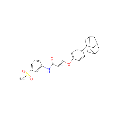 CS(=O)(=O)c1cccc(NC(=O)/C=C/Oc2ccc(C34CC5CC(CC(C5)C3)C4)cc2)c1